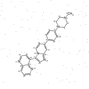 CN1CCN(c2ccc(-c3ccn4c(-c5ccnc6cccnc56)cnc4c3)cn2)CC1